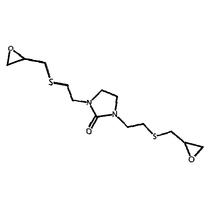 O=C1N(CCSCC2CO2)CCN1CCSCC1CO1